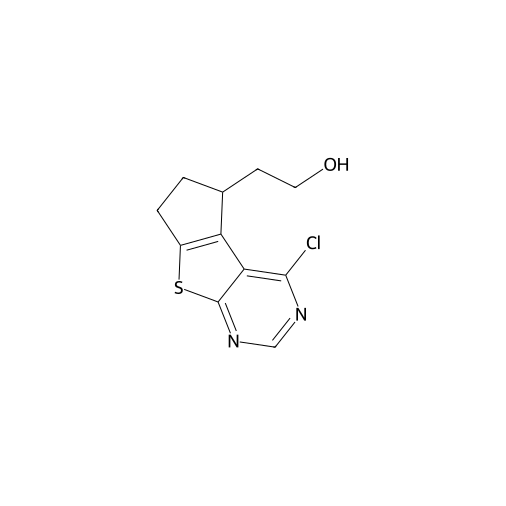 OCCC1CCc2sc3ncnc(Cl)c3c21